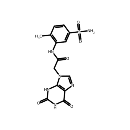 Cc1ccc(S(N)(=O)=O)cc1NC(=O)Cn1cnc2c(=O)[nH]c(=O)[nH]c21